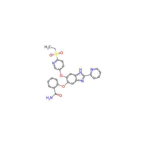 CCS(=O)(=O)c1ccc(Oc2cc3[nH]c(-c4ccccn4)nc3cc2Oc2ccccc2C(N)=O)cn1